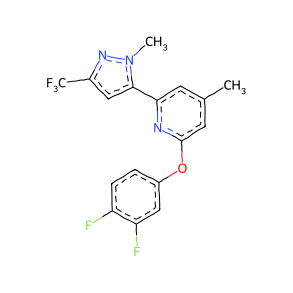 Cc1cc(Oc2ccc(F)c(F)c2)nc(-c2cc(C(F)(F)F)nn2C)c1